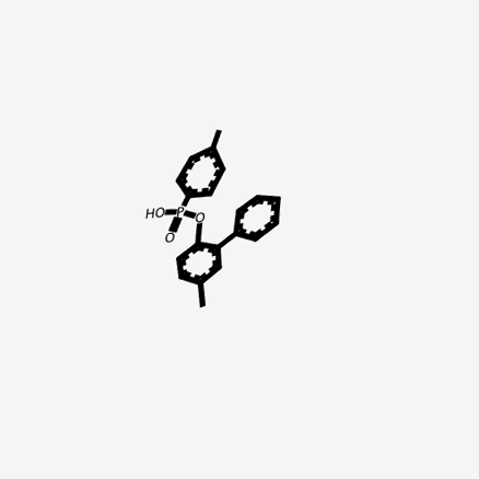 Cc1ccc(P(=O)(O)Oc2ccc(C)cc2-c2ccccc2)cc1